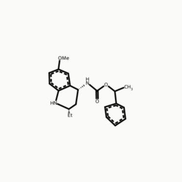 CC[C@H]1C[C@@H](NC(=O)OC(C)c2ccccc2)c2cc(OC)ccc2N1